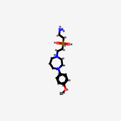 CCOc1ccc(N2CCCN(CCS(=O)(=O)CCN)CC2)cc1